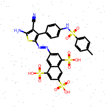 Cc1ccc(S(=O)(=O)Nc2ccc(-c3c(/N=N/c4cc(S(=O)(=O)O)c5cc(S(=O)(=O)O)cc(S(=O)(=O)O)c5c4)sc(N)c3C#N)cc2)cc1